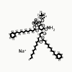 CCCCCCCCCCC[C@@H](CC(=O)[C@H]1C(ON)O[C@H](CO[Si](C)(C)C(C)(C)C)[C@@H](OS(=O)(=O)[O-])[C@@H]1OC(=O)CCCCCCCCc1ccccc1)OC(=O)CCCCCCCCc1ccccc1.[Na+]